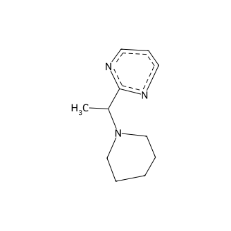 CC(c1ncccn1)N1CCCCC1